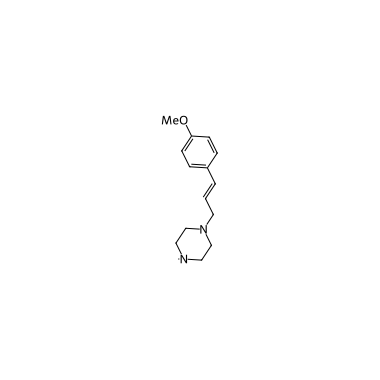 COc1ccc(C=CCN2CC[N]CC2)cc1